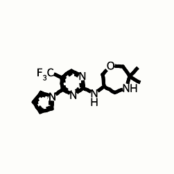 CC1(C)COCC(Nc2ncc(C(F)(F)F)c(-n3cccc3)n2)CN1